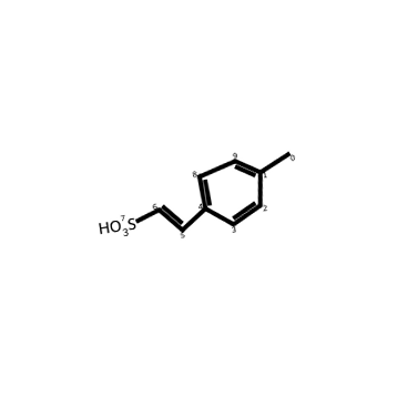 Cc1ccc(C=CS(=O)(=O)O)cc1